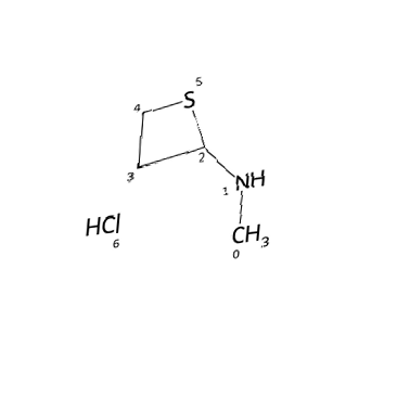 CNC1CCS1.Cl